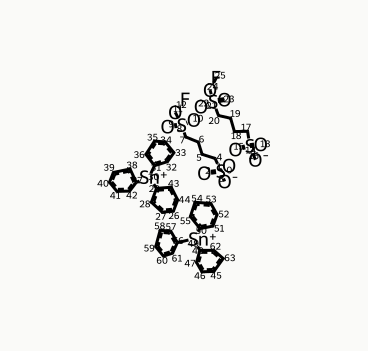 O=S(=O)([O-])CCCCS(=O)(=O)OF.O=S(=O)([O-])CCCCS(=O)(=O)OF.c1cc[c]([Sn+]([c]2ccccc2)[c]2ccccc2)cc1.c1cc[c]([Sn+]([c]2ccccc2)[c]2ccccc2)cc1